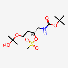 CC(C)(C)OC(=O)NC[C@@H](CCOC(C)(C)O)OS(C)(=O)=O